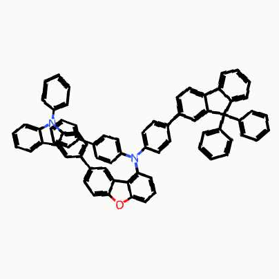 c1ccc(-c2ccc(N(c3ccc(-c4ccc5c(c4)C(c4ccccc4)(c4ccccc4)c4ccccc4-5)cc3)c3cccc4oc5ccc(-c6ccc7c(c6)c6ccccc6n7-c6ccccc6)cc5c34)cc2)cc1